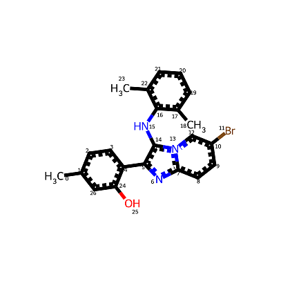 Cc1ccc(-c2nc3ccc(Br)cn3c2Nc2c(C)cccc2C)c(O)c1